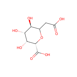 O=C(O)CC1O[C@H](C(=O)O)[C@H](O)[C@H](O)[C@H]1O